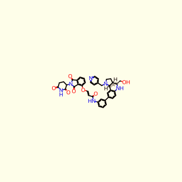 O=C(C=COc1cccc2c1C(=O)N(C1CCC(=O)NC1=O)C2=O)Nc1cccc(-c2ccc3c(c2)[C@H]2[C@H](CCN2Cc2ccncc2)[C@@H](CO)N3)c1